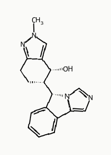 Cn1cc2c(n1)CC[C@@H]([C@H]1c3ccccc3-c3cncn31)[C@H]2O